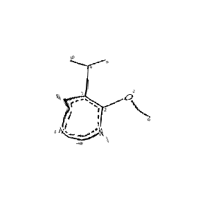 COc1ncn[c]c1C(C)C